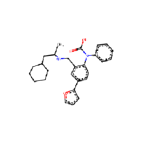 CC(CC1CCCCC1)NCc1cc(-c2ccco2)ccc1N(C(=O)O)c1ccccc1